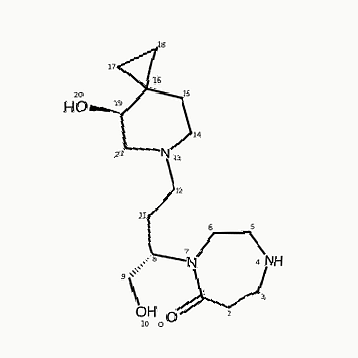 O=C1CCNCCN1[C@H](CO)CCN1CCC2(CC2)[C@H](O)C1